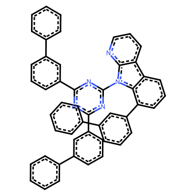 c1ccc(-c2cccc(-c3nc(-c4cccc(-c5ccccc5)c4)nc(-n4c5ncccc5c5cccc(-c6cccc(-c7ccccc7)c6)c54)n3)c2)cc1